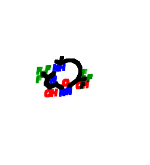 CC1(C)CCCCCC(O)(C(F)(F)F)c2nnc(o2)-c2nc(c(C(F)(F)F)cc2O)N1